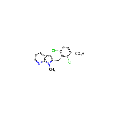 Cn1c(Cc2c(Cl)ccc(C(=O)O)c2Cl)cc2cccnc21